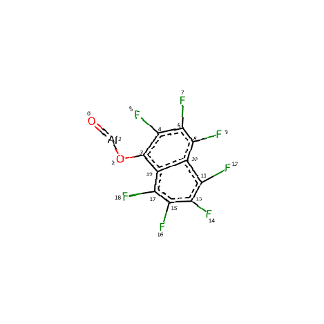 [O]=[Al][O]c1c(F)c(F)c(F)c2c(F)c(F)c(F)c(F)c12